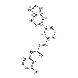 CC(C)c1cccc(NC(=O)C=Cc2cccc(-c3cnc4[nH]ccc4c3)c2)c1